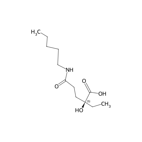 CCCCCNC(=O)CC[C@@](O)(CC)C(=O)O